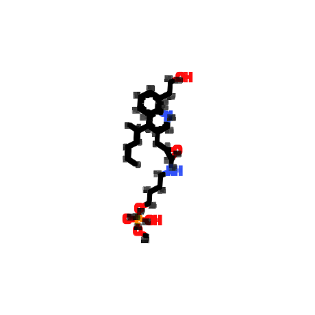 C/C=C\C=C(/C)c1c(CC2OC2NCCCCOP(=O)(O)OC)cnc2c(CCO)cccc12